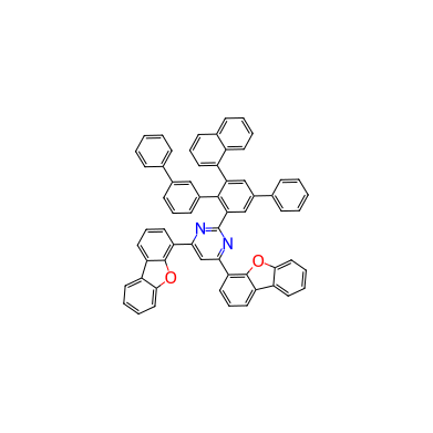 c1ccc(-c2cccc(-c3c(-c4nc(-c5cccc6c5oc5ccccc56)cc(-c5cccc6c5oc5ccccc56)n4)cc(-c4ccccc4)cc3-c3cccc4ccccc34)c2)cc1